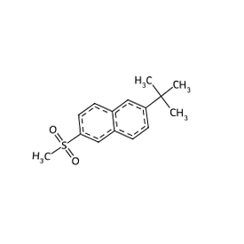 CC(C)(C)c1ccc2cc(S(C)(=O)=O)ccc2c1